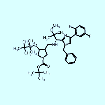 COC(C)(C)[C@@H](NCC1CN(C(=O)OC(C)(C)C)CC1O[Si](C)(C)C(C)(C)C)c1nc(-c2cc(F)ccc2F)cn1Cc1ccccc1